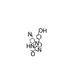 CC(=O)c1cnc2ccc(-c3ccc(CO)cc3)nc2c1N[C@H]1CC[C@H](CN(C)C)CC1